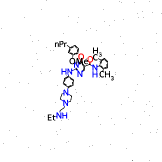 CCCc1ccc(Oc2nc(Nc3ccc(N4CCN(CCNCC)CC4)cc3)ncc2C(=O)Nc2c(C)cccc2C)c(OC)c1